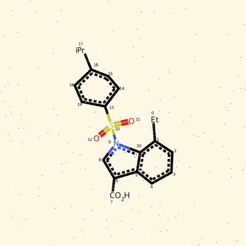 CCc1cccc2c(C(=O)O)cn(S(=O)(=O)c3ccc(C(C)C)cc3)c12